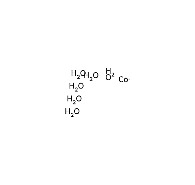 O.O.O.O.O.O.[Co]